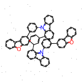 C1=CC(c2cccc3c4ccccc4n(-c4cccc(-c5ccc6oc7ccccc7c6c5)c4)c23)=CC(c2cccc3c4ccccc4n(-c4cccc(-c5ccc6oc7ccccc7c6c5)c4)c23)C1